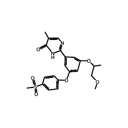 COCC(C)Oc1cc(Oc2ccc(S(C)(=O)=O)cc2)cc(-c2ncc(C)c(=O)[nH]2)c1